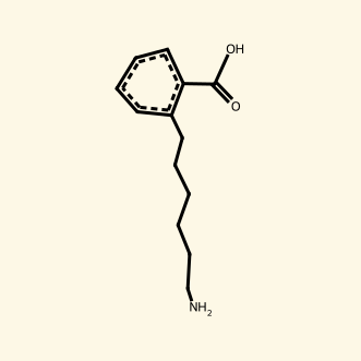 NCCCCCCc1ccccc1C(=O)O